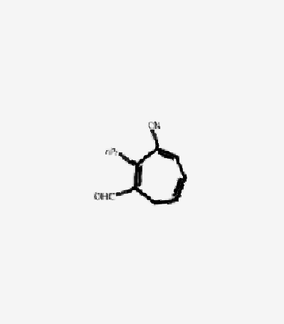 CCCC1=C(C=O)CC=CC=C1C#N